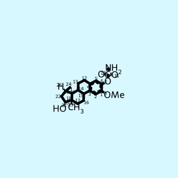 COc1cc2c(cc1OS(N)(=O)=O)CCC1C2CC[C@]2(C)[C@H](O)C[C@@H]3C[C@@]132